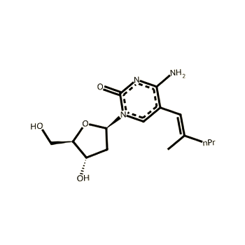 CCC/C(C)=C/c1cn([C@H]2C[C@H](O)[C@@H](CO)O2)c(=O)nc1N